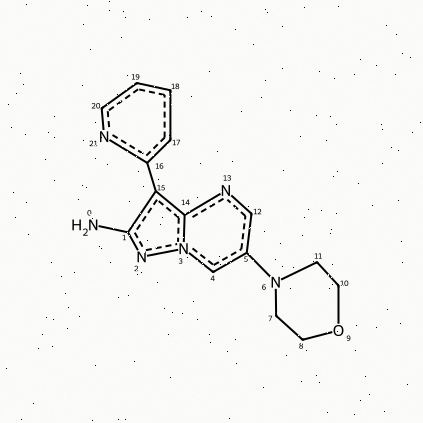 Nc1nn2cc(N3CCOCC3)cnc2c1-c1ccccn1